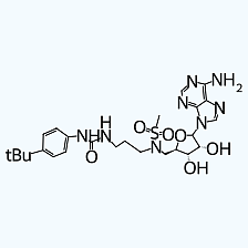 CC(C)(C)c1ccc(NC(=O)NCCCN(C[C@H]2OC(n3cnc4c(N)ncnc43)[C@H](O)[C@@H]2O)S(C)(=O)=O)cc1